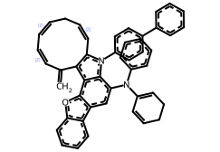 C=C1/C=C\C=C/C/C=C\c2c1c1c3oc4ccccc4c3cc(N(C3=CCCC=C3)c3ccccc3)c1n2-c1ccc(-c2ccccc2)cc1